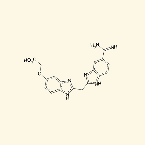 N=C(N)c1ccc2[nH]c(Cc3nc4cc(OCC(=O)O)ccc4[nH]3)nc2c1